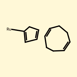 C1=CCCC=CCC1.[Ru][C]1=CC=CC1